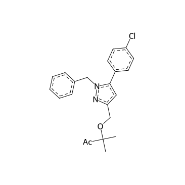 CC(=O)C(C)(C)OCc1cc(-c2ccc(Cl)cc2)n(Cc2ccccc2)n1